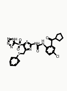 O=C(Nc1nc(CSc2ccccc2)c(S(=O)(=O)c2nnn[nH]2)s1)Nc1ccc(Cl)cc1C(=O)C1CCCC1